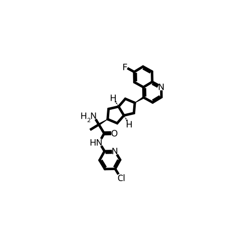 CC(N)(C(=O)Nc1ccc(Cl)cn1)[C@H]1C[C@H]2C[C@@H](c3ccnc4ccc(F)cc34)C[C@H]2C1